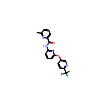 Cc1cccc(C(=O)Nc2cccc(Oc3ccc(C(F)(F)F)nc3)n2)n1